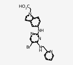 O=C(O)Cn1ccc2cc(Nc3ncc(Br)c(NCc4ccccn4)n3)ccc21